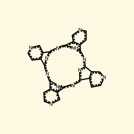 c1cc2c(cn1)-c1nc-2nc2[nH]c(nc3nc(nc4[nH]c(n1)c1ccncc41)-c1cnccc1-3)c1ccncc21